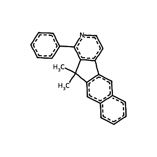 CC1(C)c2cc3ccccc3cc2-c2ccnc(-c3ccccc3)c21